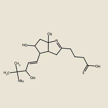 CCCCC(C)(C)C(O)C=CC1C(O)CC2(C#N)N=C(CCCC(O)=S)CC12